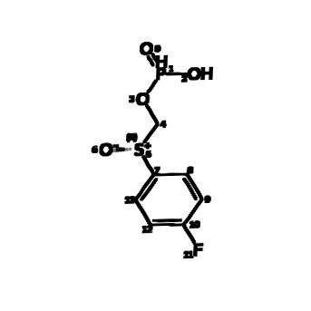 O=[PH](O)OC[S@@+]([O-])c1ccc(F)cc1